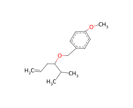 C=CCC(OCc1ccc(OC)cc1)C(C)C